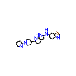 C1=C(c2ccc3cc(Nc4ccc5ncsc5c4)[nH]c3n2)CCN(c2ccccn2)C1